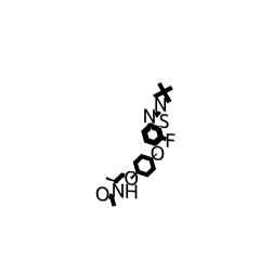 CC(=O)N[C@@H](C)CO[C@H]1CC[C@H](Oc2ccc3nc(N4CC(C)(C)C4)sc3c2F)CC1